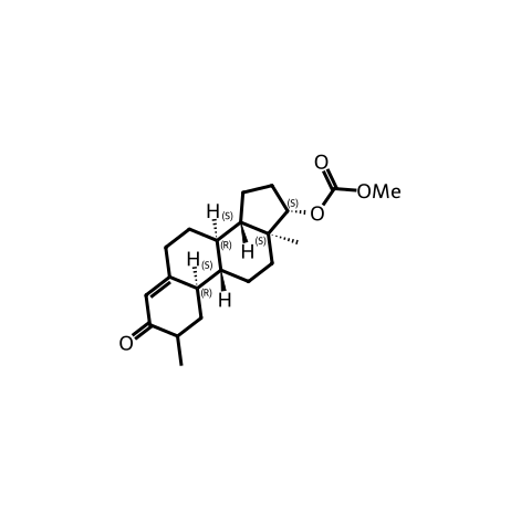 COC(=O)O[C@H]1CC[C@H]2[C@@H]3CCC4=CC(=O)C(C)C[C@@H]4[C@H]3CC[C@]12C